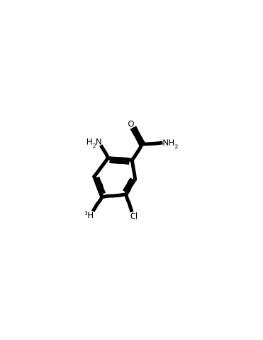 [3H]c1cc(N)c(C(N)=O)cc1Cl